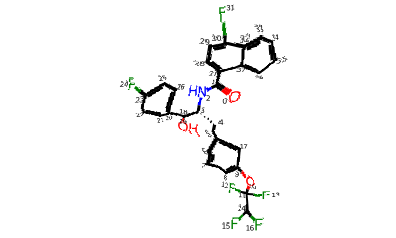 O=C(N[C@H](Cc1cccc(OC(F)(F)C(F)F)c1)[C@@H](O)c1ccc(F)cc1)c1ccc(F)c2ccccc12